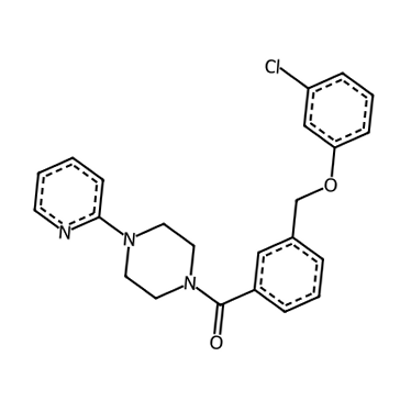 O=C(c1cccc(COc2cccc(Cl)c2)c1)N1CCN(c2ccccn2)CC1